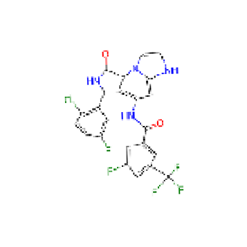 O=C(NC1=C2C(c3cc(F)ccc3Cl)NC(=O)C2N2C=CNC2=C1)c1cc(F)cc(C(F)(F)F)c1